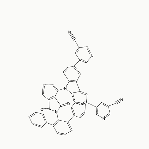 N#Cc1cncc(-c2ccc3c(c2)c2cc(-c4cncc(C#N)c4)ccc2n3-c2cccc3c2C(=O)N(c2c(-c4ccccc4)cccc2-c2ccccc2)C3=O)c1